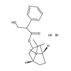 CC(C)[N+]1(C)[C@@H]2CC[C@H]1CC(OC(=O)C(CO)c1ccccc1)C2.F.[Br-]